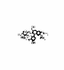 COc1cc(C2c3cc(OC)c(OC)cc3C[C@H](CO)[C@H]2CO[C@@H]2OC[C@@H](O)[C@H](O)[C@H]2O)ccc1O